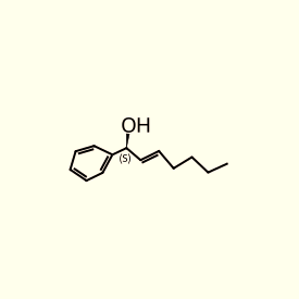 CCCCC=C[C@H](O)c1ccccc1